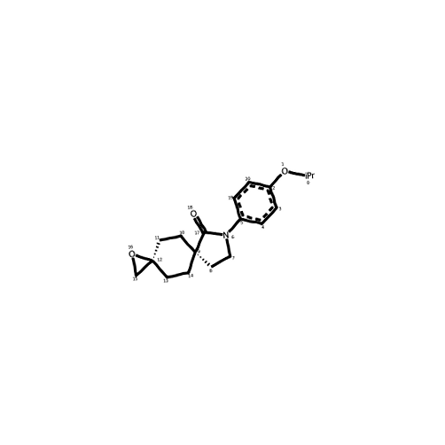 CC(C)Oc1ccc(N2CC[C@]3(CC[C@]4(CC3)CO4)C2=O)cc1